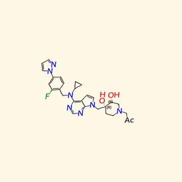 CC(=O)CN1CC[C@@](O)(Cn2ccc3c(N(Cc4ccc(-n5cccn5)cc4F)C4CC4)ncnc32)[C@H](O)C1